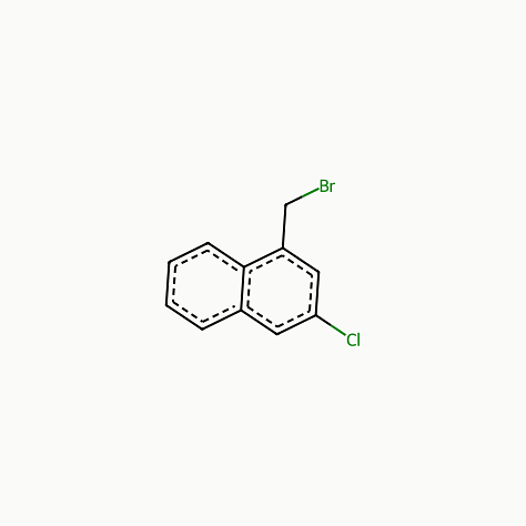 Clc1cc(CBr)c2ccccc2c1